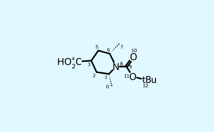 C[C@@H]1CC(C(=O)O)C[C@H](C)N1C(=O)OC(C)(C)C